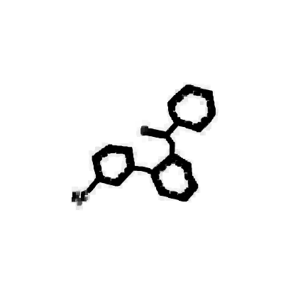 Cc1cccc(-c2ccccc2C(=O)c2ccccc2)c1